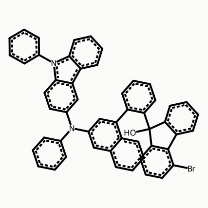 OC1(c2ccccc2-c2cc(N(c3ccccc3)c3ccc4c(c3)c3ccccc3n4-c3ccccc3)cc3ccccc23)c2ccccc2-c2c(Br)cccc21